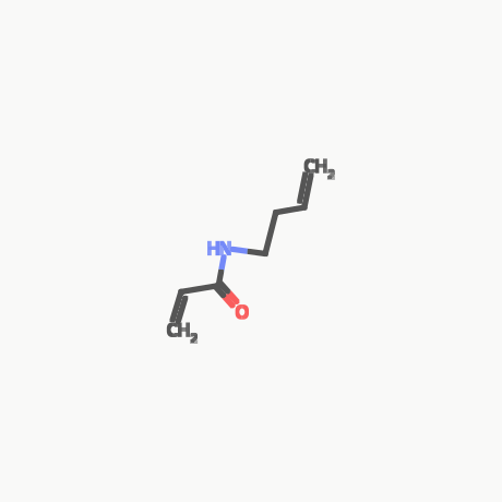 C=CCCNC(=O)C=C